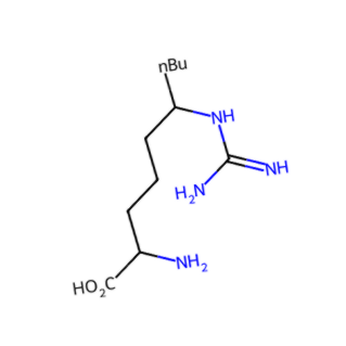 CCCCC(CCCC(N)C(=O)O)NC(=N)N